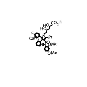 COc1ccc(NC(=O)c2c(-c3ccccc3)c(-c3ccc(F)cc3)n(CCC(O)CC(O)CC(=O)O)c2C(C)C)c(OC)c1.[CaH2]